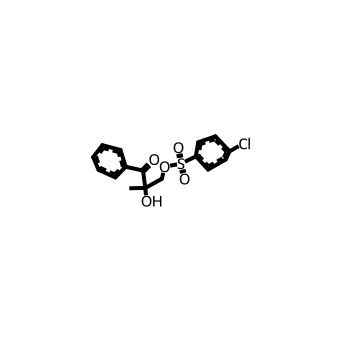 CC(O)(COS(=O)(=O)c1ccc(Cl)cc1)C(=O)c1ccccc1